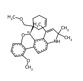 COCC1([C@@H]2Oc3cccc(OC)c3-c3ccc4c(c32)C(C)=CC(C)(C)N4)CC=CCC1